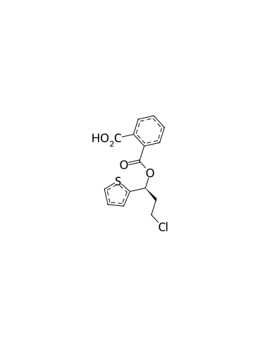 O=C(O)c1ccccc1C(=O)O[C@@H](CCCl)c1cccs1